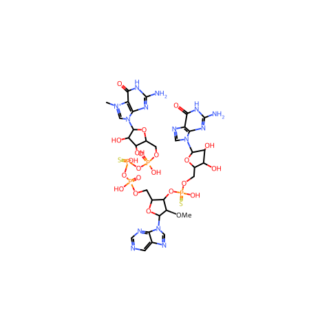 COC1C(OP(O)(=S)OCC2OC(n3cnc4c(=O)[nH]c(N)nc43)C(O)C2O)C(COP(=O)(O)OP(O)(=S)OP(=O)(O)OCC2OC(n3c[n+](C)c4c(=O)[nH]c(N)nc43)C(O)C2O)OC1n1cnc2cncnc21